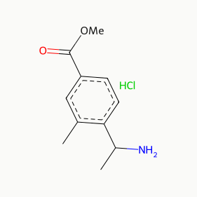 COC(=O)c1ccc(C(C)N)c(C)c1.Cl